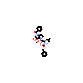 COC1(OC)CN(C(=O)c2ccccc2)C2CCN(C(=O)[C@H](CC(C)C)NC(=O)OCc3ccccc3)[C@@H]21